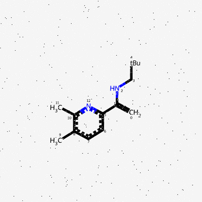 C=C(NCC(C)(C)C)c1ccc(C)c(C)n1